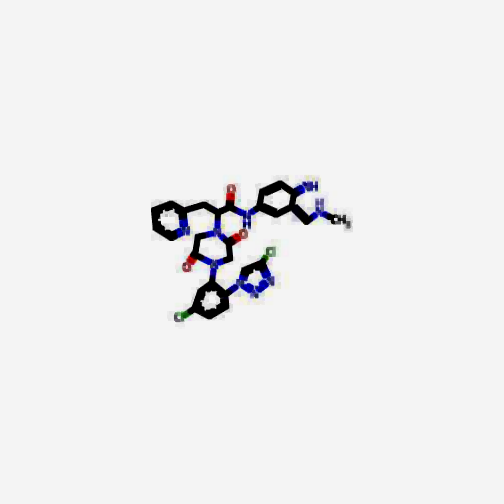 CN/C=C1/C=C(NC(=O)C(Cc2ccccn2)N2CC(=O)N(c3cc(Cl)ccc3-n3cc(Cl)nn3)CC2=O)C=CC1=N